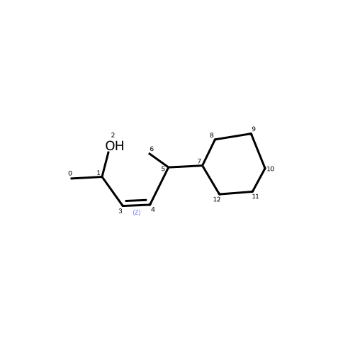 CC(O)/C=C\C(C)C1CCCCC1